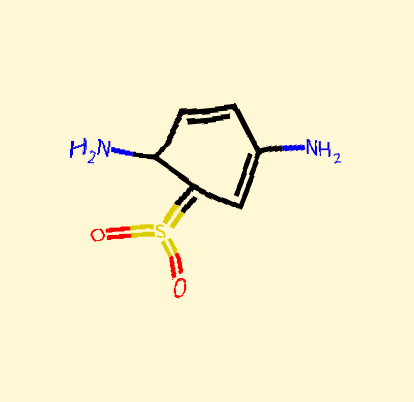 NC1=CC(=S(=O)=O)C(N)C=C1